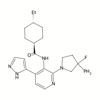 CC[C@H]1CC[C@H](C(=O)Nc2c(-c3ccn[nH]3)ccnc2N2CCC(F)(P)C2)CC1